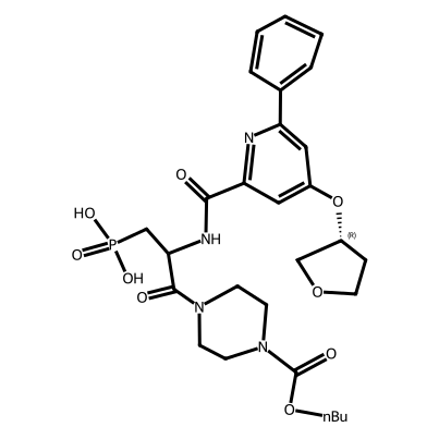 CCCCOC(=O)N1CCN(C(=O)C(CP(=O)(O)O)NC(=O)c2cc(O[C@@H]3CCOC3)cc(-c3ccccc3)n2)CC1